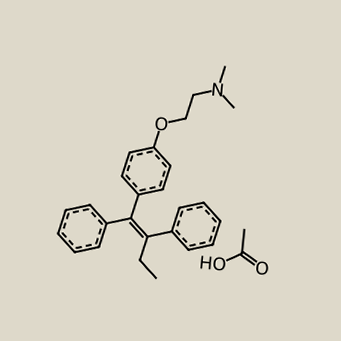 CC(=O)O.CC/C(=C(\c1ccccc1)c1ccc(OCCN(C)C)cc1)c1ccccc1